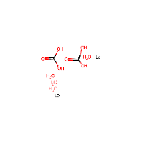 O.O.O.O.O=C(O)O.O=C(O)O.[La].[La]